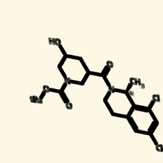 C[C@H]1c2c(Cl)cc(Cl)cc2CCN1C(=O)C1CC(O)CN(C(=O)OC(C)(C)C)C1